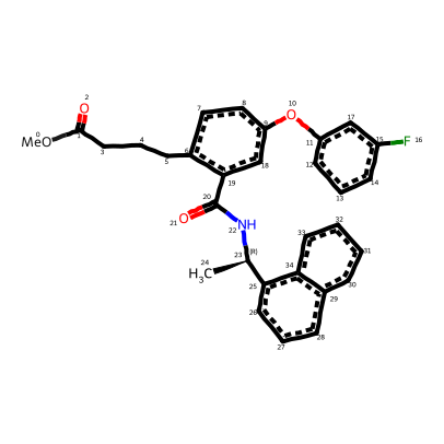 COC(=O)CCCc1ccc(Oc2cccc(F)c2)cc1C(=O)N[C@H](C)c1cccc2ccccc12